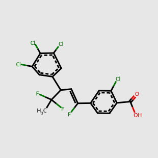 CC(F)(F)C(C=C(F)c1ccc(C(=O)O)c(Cl)c1)c1cc(Cl)c(Cl)c(Cl)c1